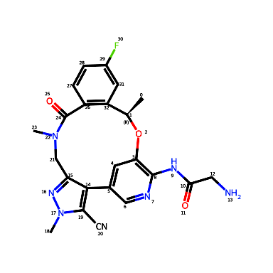 C[C@H]1Oc2cc(cnc2NC(=O)CN)-c2c(nn(C)c2C#N)CN(C)C(=O)c2ccc(F)cc21